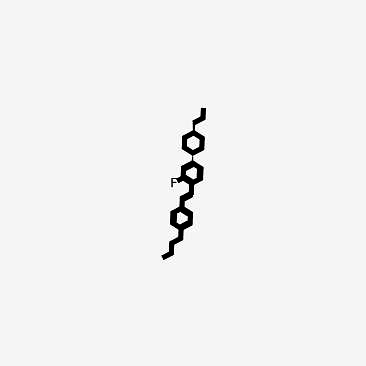 CCCCc1ccc(C=Cc2ccc([C@H]3CC[C@H](CCC)CC3)cc2F)cc1